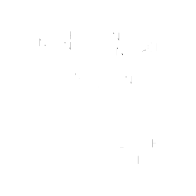 C[C@H]1CN(c2ccc(C(F)(F)F)cc2)C(=O)c2c(C(=O)Nc3ncccc3F)cnn21